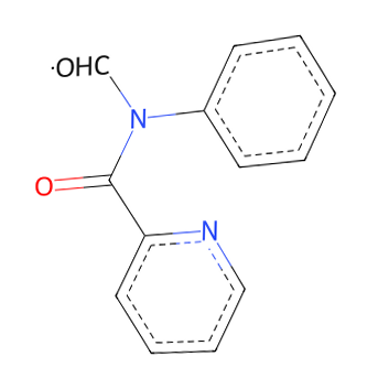 O=[C]N(C(=O)c1ccccn1)c1ccccc1